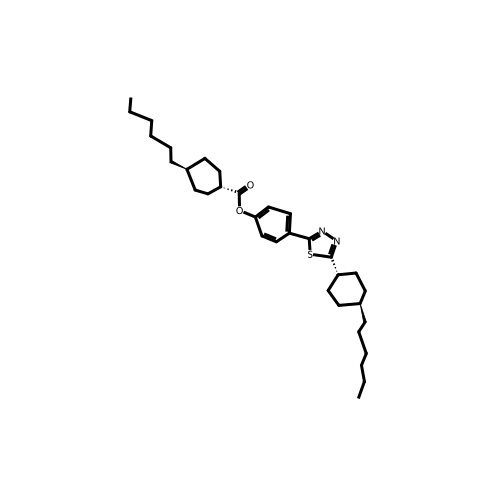 CCCCCC[C@H]1CC[C@H](C(=O)Oc2ccc(-c3nnc([C@H]4CC[C@H](CCCCCC)CC4)s3)cc2)CC1